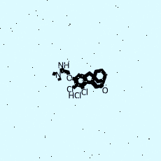 CN(C)C(=N)COc1cc2c(c(Cl)c1Cl)C1=CC(=O)C3CCCC1(C2)C3.Cl